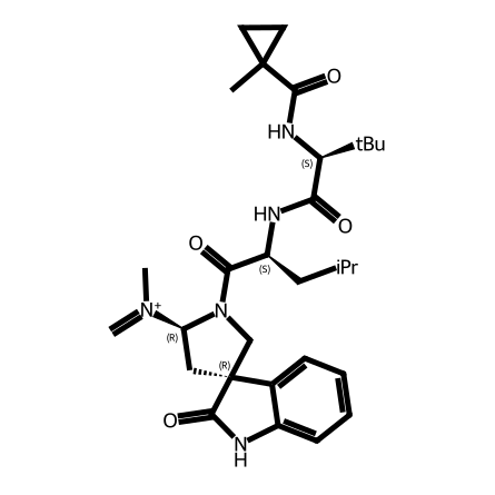 C=[N+](C)[C@@H]1C[C@@]2(CN1C(=O)[C@H](CC(C)C)NC(=O)[C@@H](NC(=O)C1(C)CC1)C(C)(C)C)C(=O)Nc1ccccc12